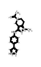 CC(=O)N1CCc2c(c(Nc3ccc(-c4cn[nH]c4)cc3)nn2C)C1